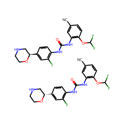 N#Cc1ccc(OC(F)F)c(NC(=O)Nc2ccc([C@@H]3CNCCO3)cc2F)c1.N#Cc1ccc(OC(F)F)c(NC(=O)Nc2ccc([C@H]3CNCCO3)cc2F)c1